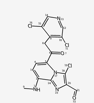 CNc1ccc(C(=O)Cc2c(Cl)cncc2Cl)n2c(Cl)c(C=O)nc12